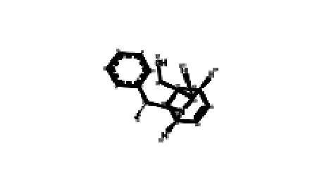 C[C@H](c1ccccc1)N1[C@@H]2C=C[C@@H](CC2)[C@H]1CO